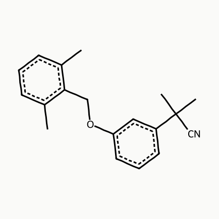 Cc1cccc(C)c1COc1cccc(C(C)(C)C#N)c1